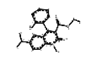 CCOC(=O)c1c(-c2ccccc2Cl)c2cc(C(C)C)ccc2n(C)c1=O